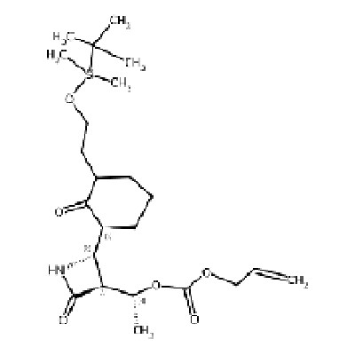 C=CCOC(=O)O[C@H](C)[C@H]1C(=O)N[C@@H]1[C@@H]1CCCC(CCO[Si](C)(C)C(C)(C)C)C1=O